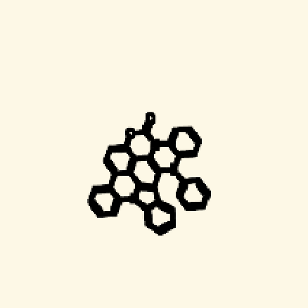 O=C1Oc2ccc3c4ccccc4n4c5ccccc5c5c6c(c2c3c54)N1c1ccccc1B6c1ccccc1